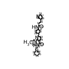 CCNc1nc(-c2ccc(NC(=O)C=Cc3cccnc3)cc2)ccc1C(=O)NCCN1CCCCC1